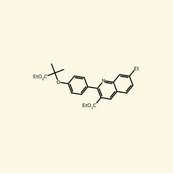 CCOC(=O)c1cc2ccc(CC)cc2nc1-c1ccc(OC(C)(C)C(=O)OCC)cc1